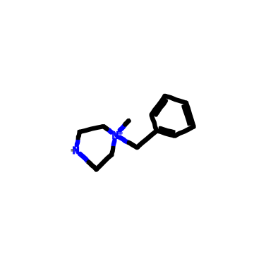 C[N+]1(Cc2ccccc2)CC[N]CC1